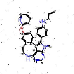 C=CCNc1ccc(-c2c3c4c(ncnc4n2C)NCCc2cc(Oc4ccccn4)ccc2-3)cc1